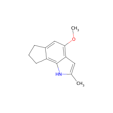 COc1cc2c(c3[nH]c(C)cc13)CCC2